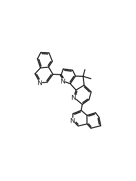 CC1(C)c2ccc(-c3cncc4ccccc34)nc2-c2nc(-c3cncc4ccccc34)ccc21